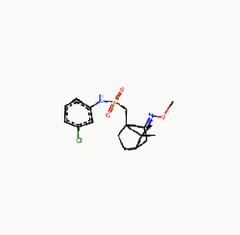 CON=C1CC2CCC1(CS(=O)(=O)Nc1cccc(Cl)c1)C2(C)C